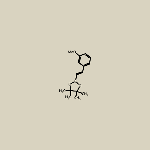 COc1cccc(C=CB2OC(C)(C)C(C)(C)O2)c1